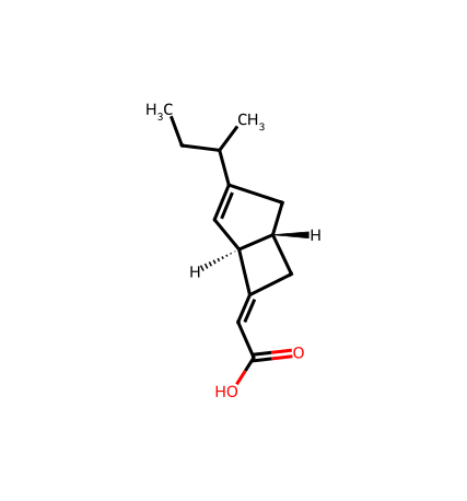 CCC(C)C1=C[C@@H]2C(=CC(=O)O)C[C@H]2C1